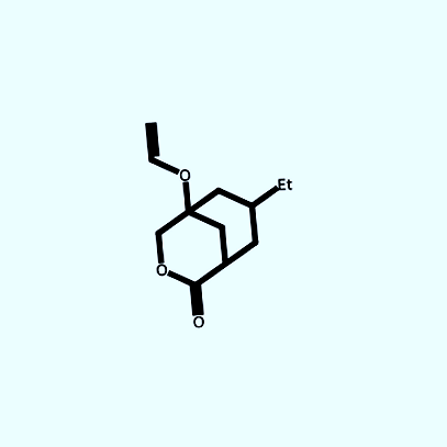 C=COC12COC(=O)C(CC(CC)C1)C2